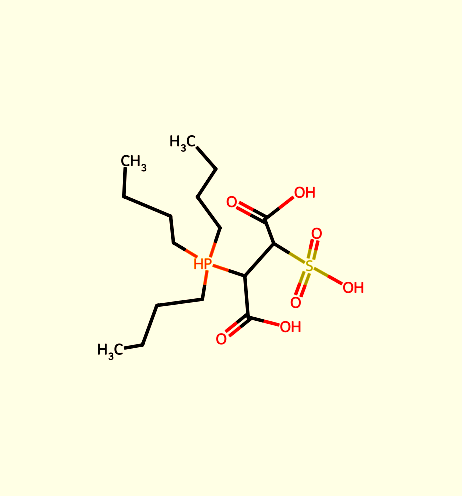 CCCC[PH](CCCC)(CCCC)C(C(=O)O)C(C(=O)O)S(=O)(=O)O